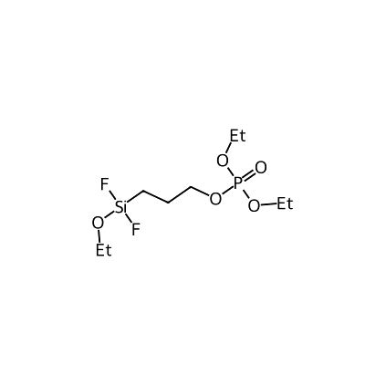 CCO[Si](F)(F)CCCOP(=O)(OCC)OCC